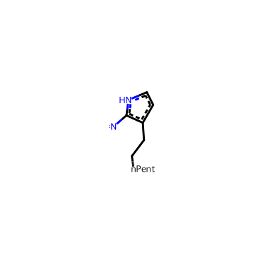 CCCCCCCc1cc[nH]c1[N]